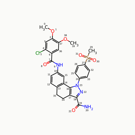 COc1cc(Cl)c(C(=O)Nc2ccc3c(c2)-c2c(c(C(N)=O)nn2-c2ccc(S(C)(=O)=O)cc2)CC3)cc1OC